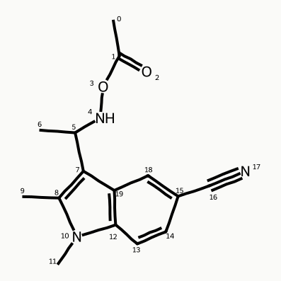 CC(=O)ONC(C)c1c(C)n(C)c2ccc(C#N)cc12